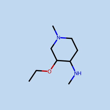 CCOC1CN(C)CCC1NC